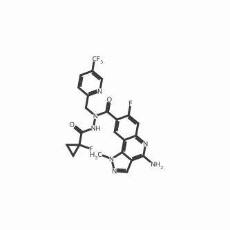 Cn1ncc2c(N)nc3cc(F)c(C(=O)N(Cc4ccc(C(F)(F)F)cn4)NC(=O)C4(F)CC4)cc3c21